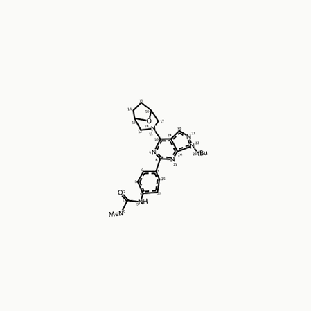 CNC(=O)Nc1ccc(-c2nc(N3CC4CCC(C3)O4)c3cnn(C(C)(C)C)c3n2)cc1